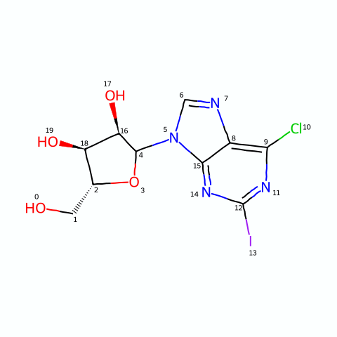 OC[C@H]1OC(n2cnc3c(Cl)nc(I)nc32)[C@H](O)[C@@H]1O